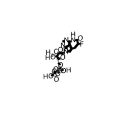 C[C@@]1(O)[C@H](O)[C@@H](COP(=O)(O)OP(=O)(O)O)O[C@H]1n1cc2c3c(ncnc31)NC(=O)C(F)=C2